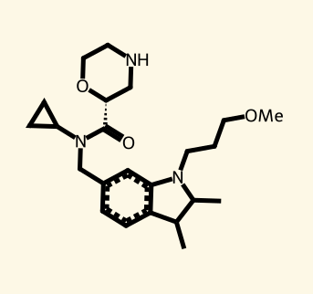 COCCCN1c2cc(CN(C(=O)[C@H]3CNCCO3)C3CC3)ccc2C(C)C1C